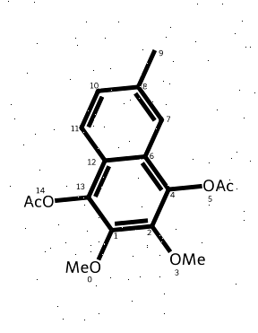 COc1c(OC)c(OC(C)=O)c2cc(C)ccc2c1OC(C)=O